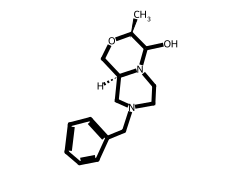 C[C@@H]1OC[C@@H]2CN(Cc3ccccc3)CCN2C1O